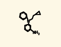 Nc1cccc(N(CCC2CC2)c2ccccc2)c1